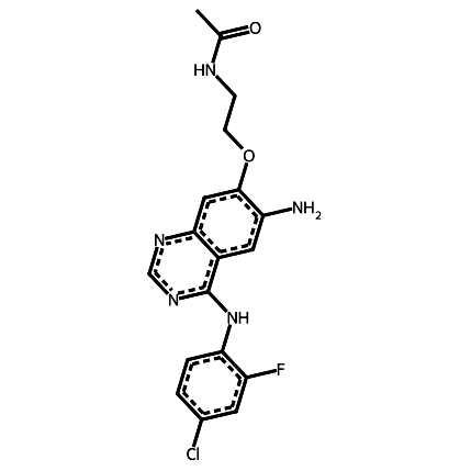 CC(=O)NCCOc1cc2ncnc(Nc3ccc(Cl)cc3F)c2cc1N